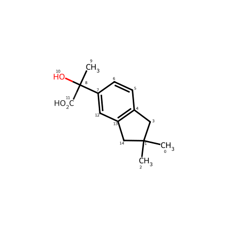 CC1(C)Cc2ccc(C(C)(O)C(=O)O)cc2C1